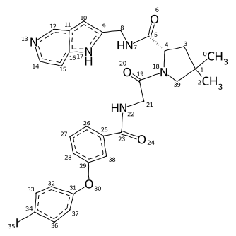 CC1(C)C[C@@H](C(=O)NCc2cc3cnccc3[nH]2)N(C(=O)CNC(=O)c2cccc(Oc3ccc(I)cc3)c2)C1